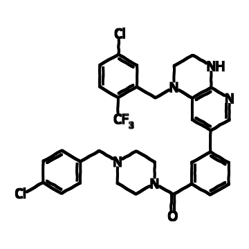 O=C(c1cccc(-c2cnc3c(c2)N(Cc2cc(Cl)ccc2C(F)(F)F)CCN3)c1)N1CCN(Cc2ccc(Cl)cc2)CC1